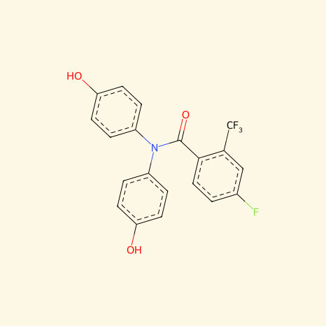 O=C(c1ccc(F)cc1C(F)(F)F)N(c1ccc(O)cc1)c1ccc(O)cc1